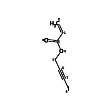 C=CC(=O)OCC#CI